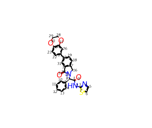 O=C(Nc1nccs1)[C@@H](c1ccccc1)N1Cc2ccc(-c3ccc4c(c3)OCCO4)cc2C1=O